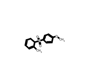 COc1ccc(S(=O)(=O)C2CC=CC=C2C)cc1